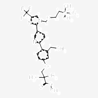 CCc1cc(OCC(C)(C)C(=O)OC)ccc1-c1ccc(-c2nc(C(F)(F)F)cn2COCCS(C)(C)C)cn1